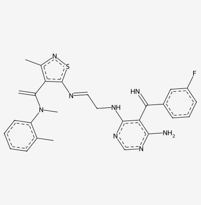 C=C(c1c(C)nsc1/N=C/CNc1ncnc(N)c1C(=N)c1cccc(F)c1)N(C)c1ccccc1C